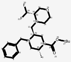 C[C@@H]1CN(Cc2ccccc2)[C@@H](CN2CCOC[C@H]2C(F)F)CN1C(=O)OC(C)(C)C